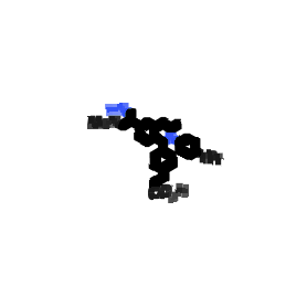 CCCc1ccc(N2C(C)Cc3cc(/C(C=N)=C/NC)ccc3C2c2ccc(/C=C/C(=O)O)cc2)cc1